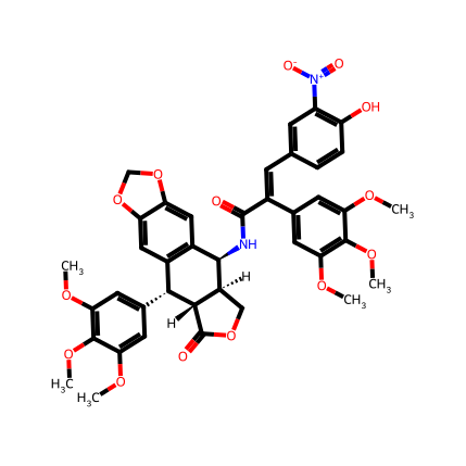 COc1cc(/C(=C\c2ccc(O)c([N+](=O)[O-])c2)C(=O)N[C@@H]2c3cc4c(cc3[C@@H](c3cc(OC)c(OC)c(OC)c3)[C@H]3C(=O)OC[C@@H]32)OCO4)cc(OC)c1OC